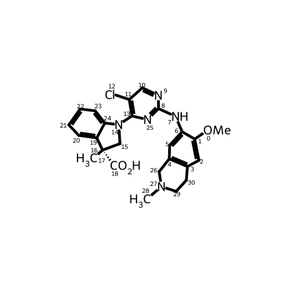 COc1cc2c(cc1Nc1ncc(Cl)c(N3C[C@](C)(C(=O)O)c4ccccc43)n1)CN(C)CC2